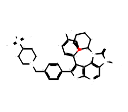 COc1ccc(-c2c(-c3ccc(CN4CCC(S(C)(=O)=O)CC4)cc3)[nH]c3ncc4c(c23)n(C2CCCCC2)c(=O)n4C)cc1